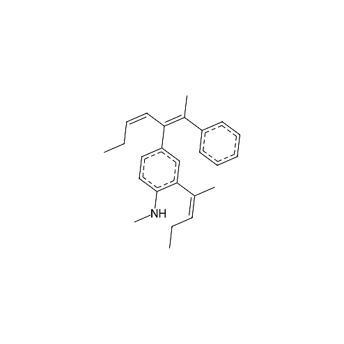 CC/C=C\C(=C(/C)c1ccccc1)c1ccc(NC)c(/C(C)=C\CC)c1